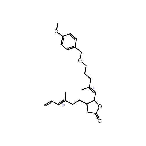 C=C/C=C(\C)CCC1CC(=O)OC1/C=C(\C)CCCOCc1ccc(OC)cc1